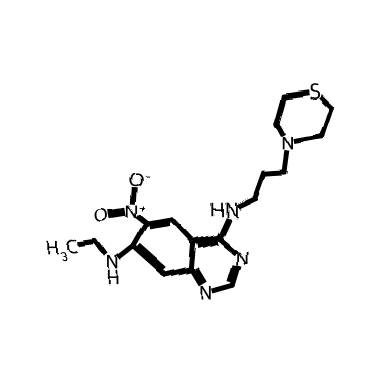 CCNc1cc2ncnc(NCCCN3CCSCC3)c2cc1[N+](=O)[O-]